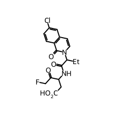 CCC(C(=O)NC(CC(=O)O)C(=O)CF)n1ccc2cc(Cl)ccc2c1=O